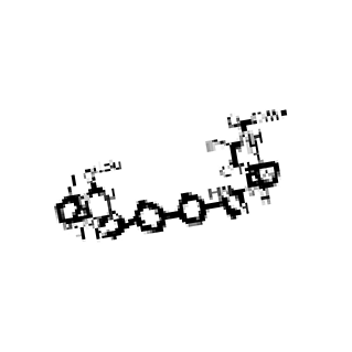 COC(=O)N[C@H](C(=O)N1[C@@H]2CC[C@@H](C2)[C@H]1c1ncc(-c2ccc(-c3ccc(-c4cnc([C@@H]5[C@H]6CC[C@H](C6)N5C(=O)OC(C)(C)C)[nH]4)cc3)cc2)[nH]1)C(C)C